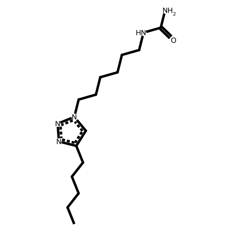 CCCCCc1cn(CCCCCCNC(N)=O)nn1